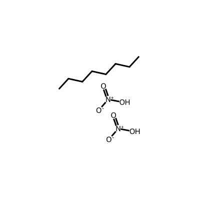 CCCCCCCC.O=[N+]([O-])O.O=[N+]([O-])O